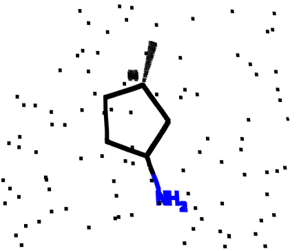 C[C@H]1CCC(N)C1